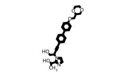 CC(O)c1nccn1C(C#Cc1ccc(-c2ccc(OCC3COCCO3)cc2)cc1)CO